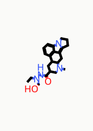 CCN(CO)NC(=O)C1CC2c3cccc4c3c(c3n4CCC3)CC2N(C)C1